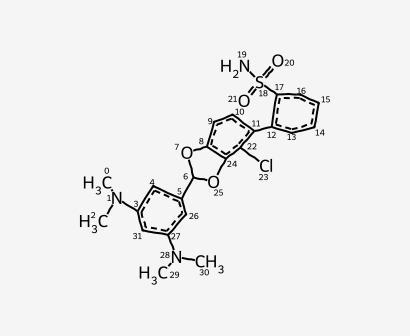 CN(C)c1cc(C2Oc3ccc(-c4ccccc4S(N)(=O)=O)c(Cl)c3O2)cc(N(C)C)c1